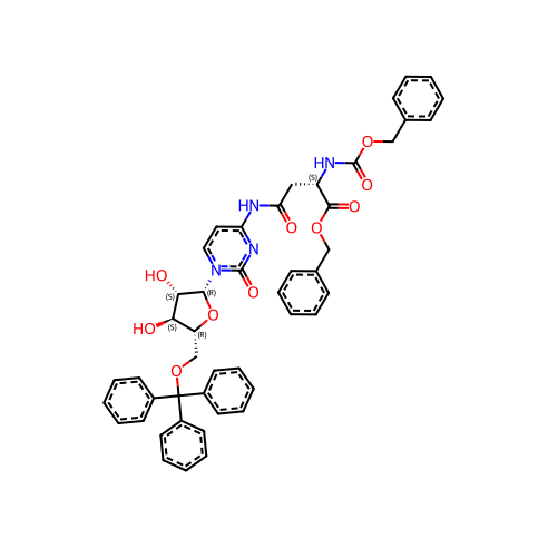 O=C(C[C@H](NC(=O)OCc1ccccc1)C(=O)OCc1ccccc1)Nc1ccn([C@@H]2O[C@H](COC(c3ccccc3)(c3ccccc3)c3ccccc3)[C@@H](O)[C@@H]2O)c(=O)n1